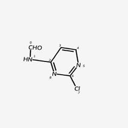 O=CNc1ccnc(Cl)n1